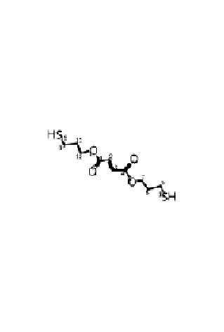 O=C(/C=C/C(=O)OCCCS)OCCCS